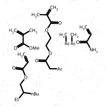 C=C(C)C(=O)OC.C=C(C)C(=O)OCCOC(=O)CC(C)=O.C=CC(=O)OCC(CC)CCCC.C=CC(N)=O.CC(C)=O.CC(C)=O